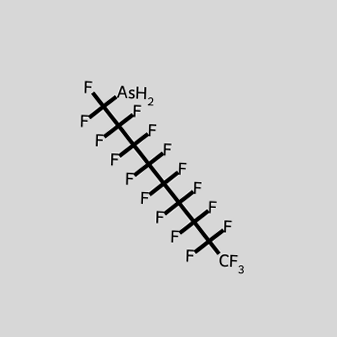 FC(F)(F)C(F)(F)C(F)(F)C(F)(F)C(F)(F)C(F)(F)C(F)(F)C(F)(F)C(F)(F)[AsH2]